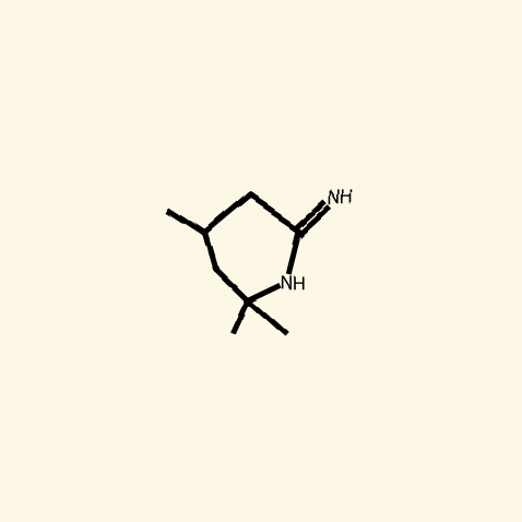 CC1CC(=N)NC(C)(C)C1